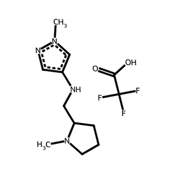 CN1CCCC1CNc1cnn(C)c1.O=C(O)C(F)(F)F